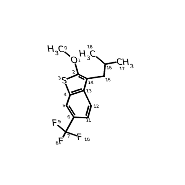 COc1sc2cc(C(F)(F)F)ccc2c1CC(C)C